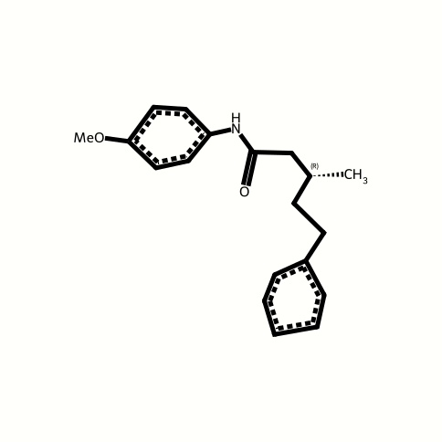 COc1ccc(NC(=O)C[C@H](C)CCc2ccccc2)cc1